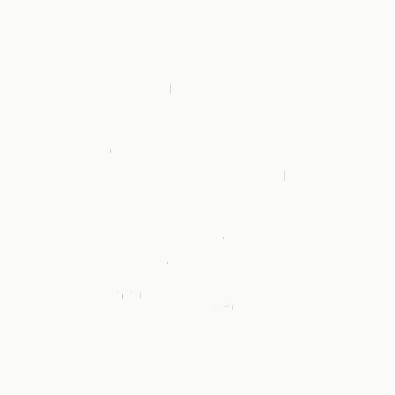 CCCCOC(CCCC)Oc1cc(Cl)c(Cl)cc1Cl